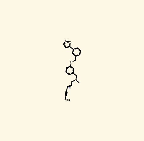 CN(C/C=C/C#CC(C)(C)C)Cc1cccc(OCc2cccc(-c3ccno3)c2)c1